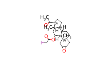 CC(=O)[C@H]1CC[C@H]2[C@@H]3CCC4CC5OC5C[C@]4(C)[C@H]3C(OC(=O)CI)C[C@]12C